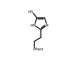 CCCCCCCc1ncc(S)[nH]1